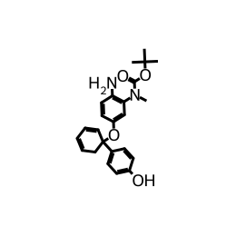 CN(C(=O)OC(C)(C)C)c1cc(OC2(c3ccc(O)cc3)C=CC=CC2)ccc1N